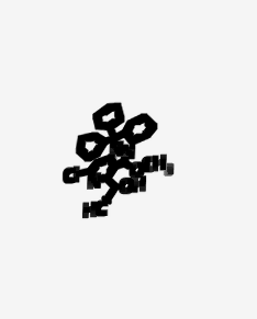 C#CC(O)c1nc(Cl)cc2c1c(OC)nn2C(c1ccccc1)(c1ccccc1)c1ccccc1